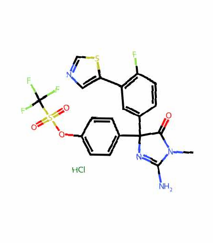 CN1C(=O)C(c2ccc(OS(=O)(=O)C(F)(F)F)cc2)(c2ccc(F)c(-c3cncs3)c2)N=C1N.Cl